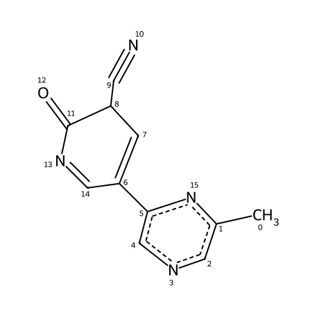 Cc1cncc(C2=CC(C#N)C(=O)N=C2)n1